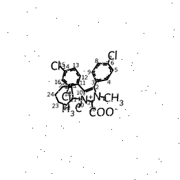 CN1C(c2ccc(Cl)cc2)=C(c2ccc(Cl)cc2Cl)[N+](C)(C2CCCCC2)C1C(=O)[O-]